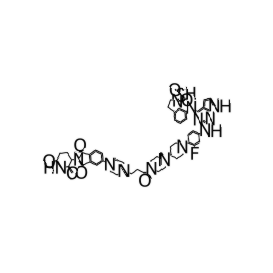 CS(=O)(=O)N1CCc2cccc(Nc3nc(Nc4ccc(N5CCC(N6CCN(C(=O)CCN7CCN(c8ccc9c(c8)C(=O)N(C8CCC(=O)NC8=O)C9=O)CC7)CC6)CC5)c(F)c4)nc4[nH]ccc34)c21